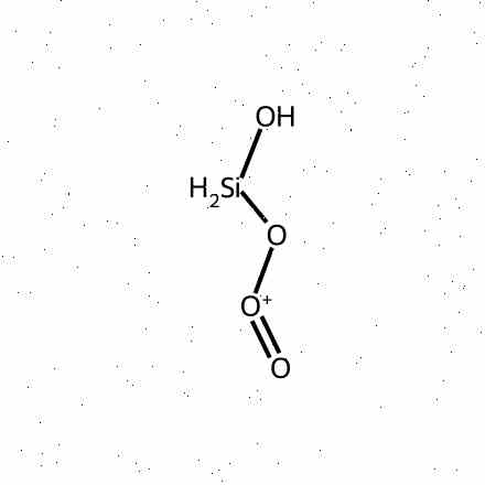 O=[O+]O[SiH2]O